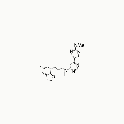 CNc1ncc(-c2cc(NCCC(C)c3cc(C)nc4c3OCC4)ncn2)cn1